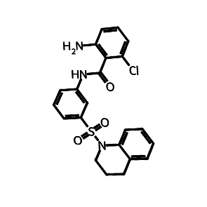 Nc1cccc(Cl)c1C(=O)Nc1cccc(S(=O)(=O)N2CCCc3ccccc32)c1